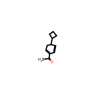 BC(=O)C1=CCC(C2CCC2)C=C1